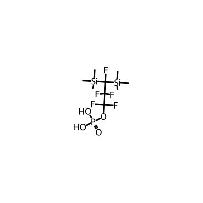 C[Si](C)(C)C(F)(C(F)(F)C(F)(F)OP(=O)(O)O)[Si](C)(C)C